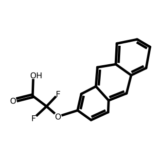 O=C(O)C(F)(F)Oc1ccc2cc3ccccc3cc2c1